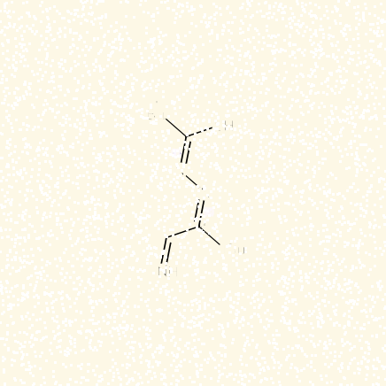 C/C(=N\N=C(/C=N)C(C)(C)C)C(C)(C)C